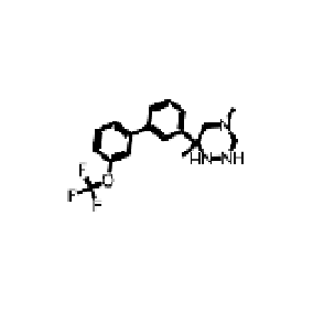 CN1CNNC(C)(c2cccc(-c3cccc(OC(F)(F)F)c3)c2)C1